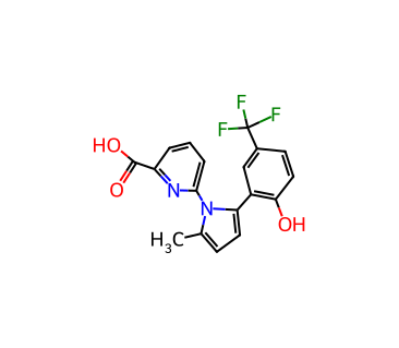 Cc1ccc(-c2cc(C(F)(F)F)ccc2O)n1-c1cccc(C(=O)O)n1